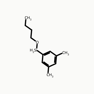 CCCCO[SiH2]c1cc(C)cc(C)c1